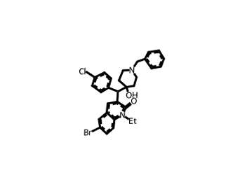 CCn1c(=O)c(C(c2ccc(Cl)cc2)C2(O)CCN(Cc3ccccc3)CC2)cc2cc(Br)ccc21